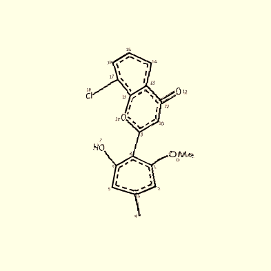 COc1cc(C)cc(O)c1-c1cc(=O)c2cccc(Cl)c2o1